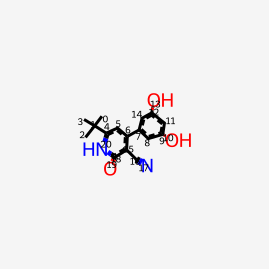 CC(C)(C)c1cc(-c2cc(O)cc(O)c2)c(C#N)c(=O)[nH]1